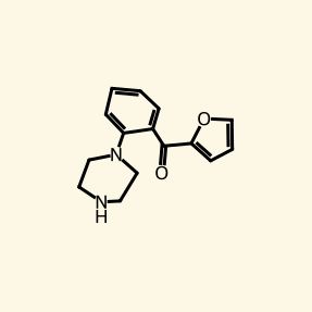 O=C(c1ccco1)c1ccccc1N1CCNCC1